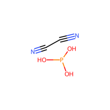 N#CC#N.OP(O)O